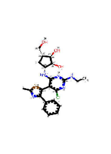 Cc1nc(-c2ccccc2)c(-c2c(Cl)nc(NCC(F)(F)F)nc2N[C@@H]2C[C@H](CO)[C@@H](O)[C@H]2O)s1